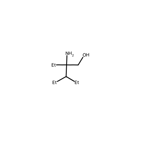 CC[C](CC)C(N)(CC)CO